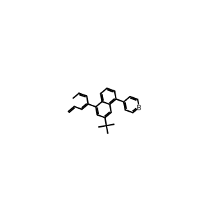 C=C/C=C(\C=C/C)c1cc(C(C)(C)C)cc2c(-c3ccbcc3)cccc12